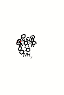 N#Cc1c(Cc2ccccc2-c2ccccc2N)c(-n2c3ccccc3c3ccccc32)c(-n2c3ccccc3c3ccccc32)c(C#N)c1-n1c2ccccc2c2ccccc21